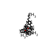 CCCCc1ccc(-c2cnn3c(N)c(S(C)(=O)=O)c(C4CC5CCC(C4)N5C(=O)c4nnc[nH]4)nc23)cn1